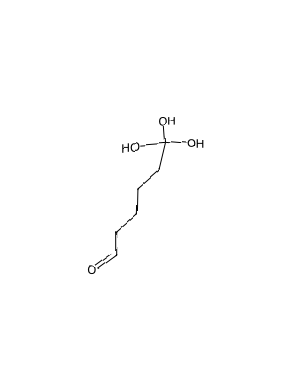 O=CCCCCC(O)(O)O